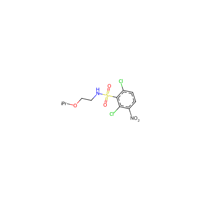 CC(C)OCCNS(=O)(=O)c1c(Cl)ccc([N+](=O)[O-])c1Cl